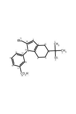 CCC(C)(C)C1CCc2c(cc(C(C)(C)C)n2-c2cccc(C(=O)O)c2)C1